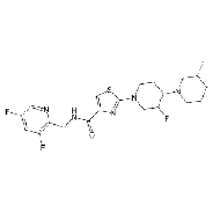 C[C@@H]1CCCN(C2CCN(c3nc(C(=O)NCc4ncc(F)cc4F)cs3)CC2F)C1